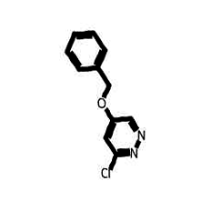 Clc1cc(OCc2ccccc2)cnn1